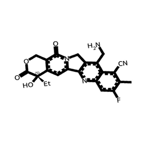 CC[C@@]1(O)C(=O)OCc2c1cc1n(c2=O)Cc2c-1nc1cc(F)c(C)c(C#N)c1c2CN